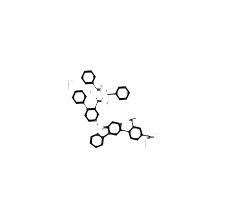 Fc1ccc(-c2ccc(-n3c4ccccc4c4cc(-c5ccc(C(F)(F)F)cc5C(F)(F)F)ccc43)cc2-c2nc(-c3ccccc3)nc(-c3ccccc3)n2)cc1